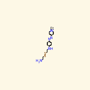 CC[n+]1ccc(N=Nc2ccc(NCCSSCCN)cc2)cc1